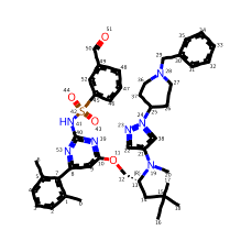 Cc1cccc(C)c1-c1cc(OC[C@@H](CC(C)(C)C)N(C)c2cnn(C3CCN(Cc4ccccc4)CC3)c2)nc(NS(=O)(=O)c2cccc(C=O)c2)n1